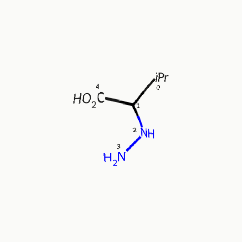 CC(C)C(NN)C(=O)O